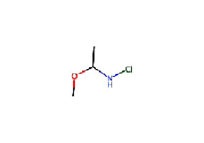 COC(C)NCl